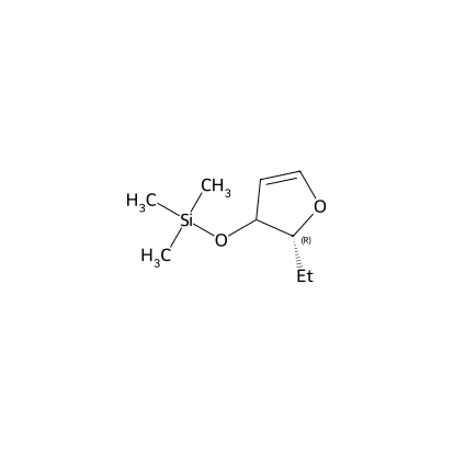 CC[C@H]1OC=CC1O[Si](C)(C)C